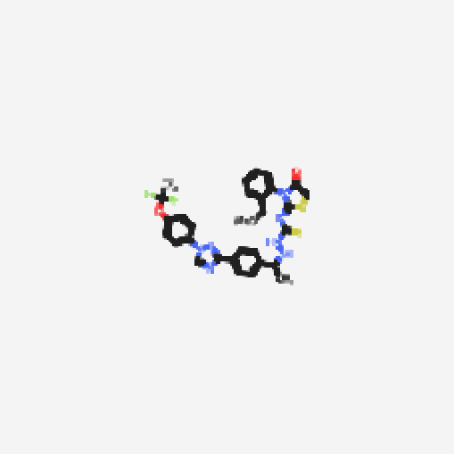 COCc1ccccc1N1C(=O)CS/C1=N\C(=S)NNC(C)c1ccc(-c2ncn(-c3ccc(OC(F)(F)C(F)(F)F)cc3)n2)cc1